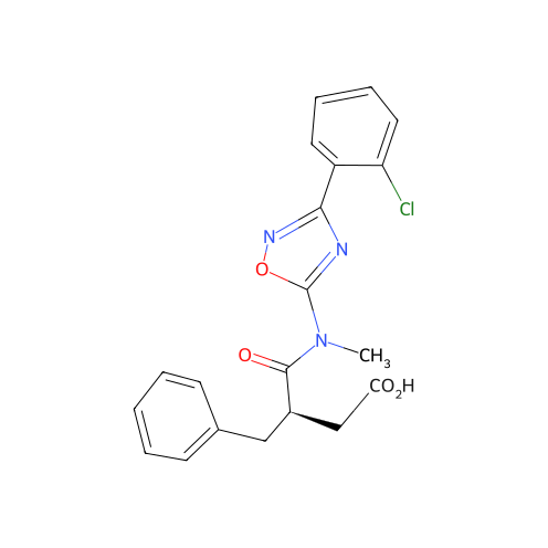 CN(C(=O)[C@@H](CC(=O)O)Cc1ccccc1)c1nc(-c2ccccc2Cl)no1